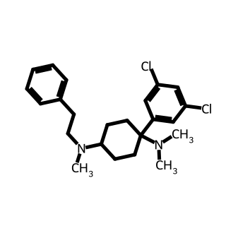 CN(CCc1ccccc1)C1CCC(c2cc(Cl)cc(Cl)c2)(N(C)C)CC1